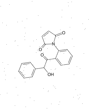 O=C(c1ccccc1N1C(=O)C=CC1=O)C(O)c1ccccc1